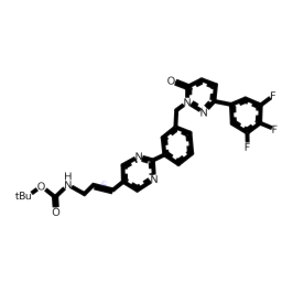 CC(C)(C)OC(=O)NC/C=C/c1cnc(-c2cccc(Cn3nc(-c4cc(F)c(F)c(F)c4)ccc3=O)c2)nc1